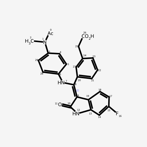 CC(=O)N(C)c1ccc(N/C(=C2\C(=O)Nc3cc(F)ccc32)c2cccc(CC(=O)O)c2)cc1